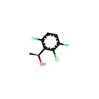 C[C@H](O)c1c(F)ccc(F)c1Cl